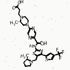 C[C@@H]1CCCN1Cc1sc(NC(O)c2cnc(N3CCN(CCC(=O)O)[C@@H](C)C3)cn2)nc1-c1cc(C(F)(F)F)cs1